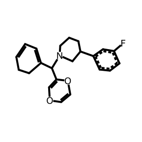 Fc1cccc(C2CCCN(C(C3=CC=CCC3)C3=COC=CO3)C2)c1